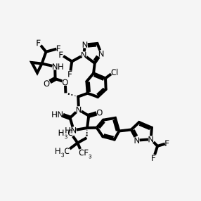 CC(C)(C[C@]1(c2ccc(-c3ccn(C(F)F)n3)cc2)NC(=N)N([C@H](COC(=O)NC2(C(F)F)CC2)c2ccc(Cl)c(-c3ncnn3C(F)F)c2)C1=O)C(F)(F)F